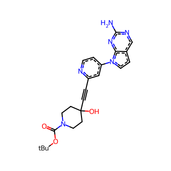 CC(C)(C)OC(=O)N1CCC(O)(C#Cc2cc(-n3ccc4cnc(N)nc43)ccn2)CC1